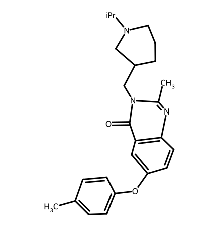 Cc1ccc(Oc2ccc3nc(C)n(CC4CCCN(C(C)C)C4)c(=O)c3c2)cc1